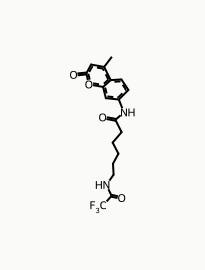 Cc1cc(=O)oc2cc(NC(=O)CCCCCNC(=O)C(F)(F)F)ccc12